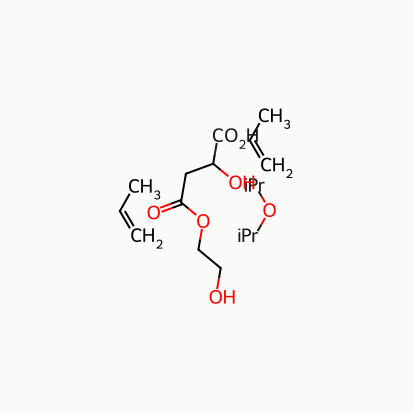 C=CC.C=CC.CC(C)OC(C)C.O=C(CC(O)C(=O)O)OCCO